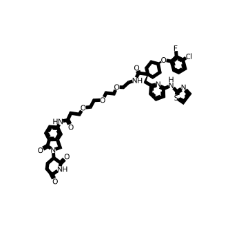 O=C1CCC(N2Cc3cc(NC(=O)CCOCCOCCOCCNC(=O)[C@]4(Cc5cccc(Nc6nccs6)n5)CC[C@@H](Oc5cccc(Cl)c5F)CC4)ccc3C2=O)C(=O)N1